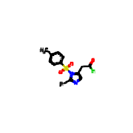 Cc1ccc(S(=O)(=O)n2c(CC(=O)Cl)cnc2C(C)C)cc1